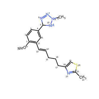 COc1ccc(C2N=NN(C)N2)cc1/C=C/CCCc1csc(C)n1